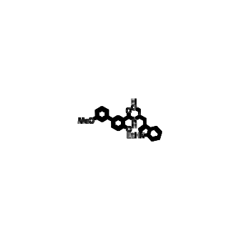 CCOc1ccc(-c2cccc(OC)c2)cc1C(=O)N[C@@H](CO)CC1=CNC2C=CC=CC12